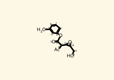 CC(=O)C(C(=O)Oc1cccc(C)c1)C1OC1CO